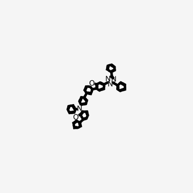 C1=CC2Oc3cc(-c4nc(-c5ccccc5)nc(-c5ccccc5)n4)ccc3C2C=C1c1ccc(N(c2ccccc2)c2cccc3c2oc2ccccc23)cc1